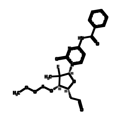 COOSO[C@H]1[C@@H](CC=O)O[C@@H](n2ccc(NC(=O)c3ccccc3)nc2=O)C1(C)F